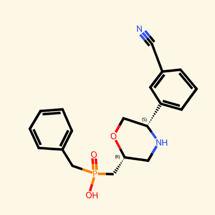 N#Cc1cccc([C@H]2CO[C@@H](CP(=O)(O)Cc3ccccc3)CN2)c1